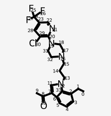 CCc1cccc2c(C(C)=O)cn(CCCN3CCN(c4ncc(C(F)(F)F)cc4Cl)CC3)c12